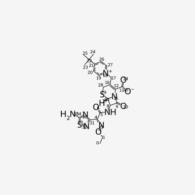 CCON=C(C(=O)NC1C(=O)N2C(C(=O)[O-])=C(C[n+]3ccc(C(C)(C)C)cc3)CS[C@@H]12)c1nsc(N)n1